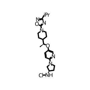 CC(C)c1noc(N2CCC([C@H](C)Oc3ccc(N4CC[C@@H](NCl)C4)nc3)CC2)n1